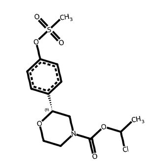 CC(Cl)OC(=O)N1CCO[C@H](c2ccc(OS(C)(=O)=O)cc2)C1